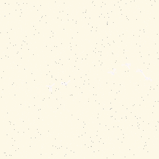 Cc1ccc(S(=O)(=O)NC=NCCSCc2csc(NC=NN)n2)cc1.O=C(O)C=CC(=O)O